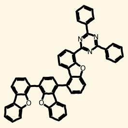 c1ccc(-c2nc(-c3ccccc3)nc(-c3cccc4c3oc3cccc(-c5ccc(-c6cccc7c6oc6ccccc67)c6oc7ccccc7c56)c34)n2)cc1